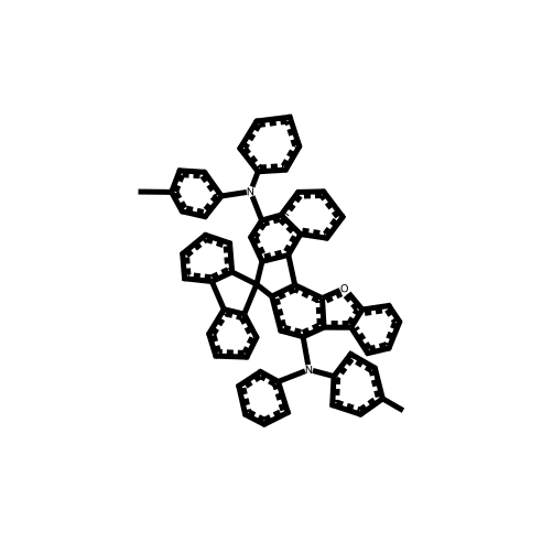 Cc1ccc(N(c2ccccc2)c2cc3c(c4ccccc24)-c2c(cc(N(c4ccccc4)c4ccc(C)cc4)c4c2oc2ccccc24)C32c3ccccc3-c3ccccc32)cc1